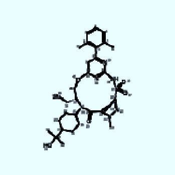 Cc1cccc(C)c1-c1cc2nc(n1)NS(=O)(=O)c1cc(n(C)n1)C(=O)N(C1CCC(C(C)(C)O)CC1)[C@H](CC(C)(C)C)CO2